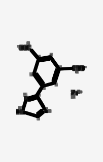 O=C([O-])c1cc(C(=O)[O-])cc(-c2nc[nH]n2)c1.[Zn+2]